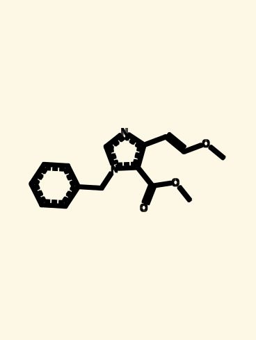 COC=Cc1ncn(Cc2ccccc2)c1C(=O)OC